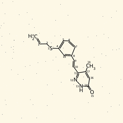 C=CCSc1cccc(C=Cc2n[nH]c(=O)cc2C)c1